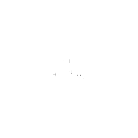 SS.[Mo].[Ni]